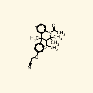 CC(=O)N1c2cc[c]cc2C(C)(c2ccc(OCC#N)cc2)C(C(N)=O)C1(C)C